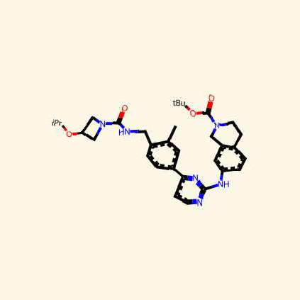 Cc1cc(-c2ccnc(Nc3ccc4c(c3)CN(C(=O)OC(C)(C)C)CC4)n2)ccc1CNC(=O)N1CC(OC(C)C)C1